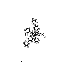 CN=P(N=P(C)(Oc1ccccc1)Oc1ccc(-c2ccccc2)cc1)(Oc1ccccc1)Oc1ccc(-c2ccccc2)cc1